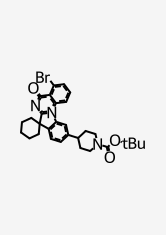 CC(C)(C)OC(=O)N1CCC(c2ccc3c(c2)-n2c(nc(=O)c4c(Br)cccc42)C32CCCCC2)CC1